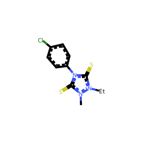 CCn1c(=S)n(-c2ccc(Cl)cc2)c(=S)n1C